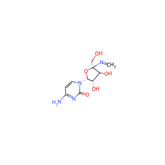 C=N[C@]1(CO)O[C@@H](n2ccc(N)nc2=O)[C@@H](O)C1O